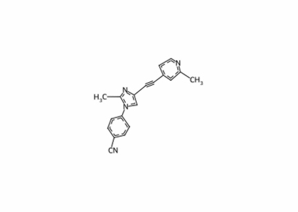 Cc1cc(C#Cc2cn(-c3ccc(C#N)cc3)c(C)n2)ccn1